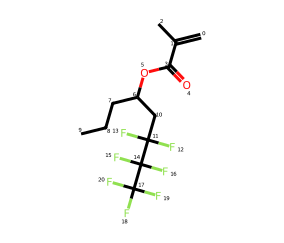 C=C(C)C(=O)OC(CCC)CC(F)(F)C(F)(F)C(F)(F)F